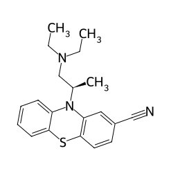 CCN(CC)C[C@@H](C)N1c2ccccc2Sc2ccc(C#N)cc21